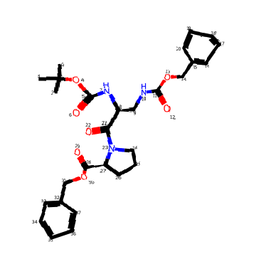 CC(C)(C)OC(=O)N[C@@H](CNC(=O)OCc1ccccc1)C(=O)N1CCC[C@H]1C(=O)OCc1ccccc1